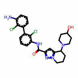 Nc1cccc(-c2cccc(NC(=O)c3cc4n(n3)CCCC4N3CCC(O)CC3)c2Cl)c1Cl